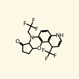 O=C1CCC2Oc3c(ccc4c3C(C(F)(F)F)C=CN4)N(CC(F)(F)F)C12